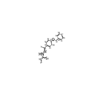 CSC(=S)NN=C(C)c1ccc(OCc2ccccc2)cc1